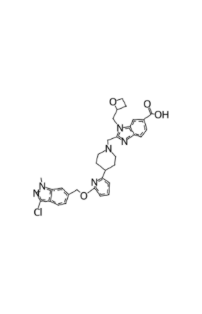 Cn1nc(Cl)c2ccc(COc3cccc(C4CCN(Cc5nc6ccc(C(=O)O)cc6n5CC5CCO5)CC4)n3)cc21